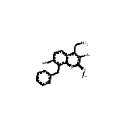 CC(=O)c1c(CN)c2ccc(O)c(Cc3ccccc3)c2oc1=NO